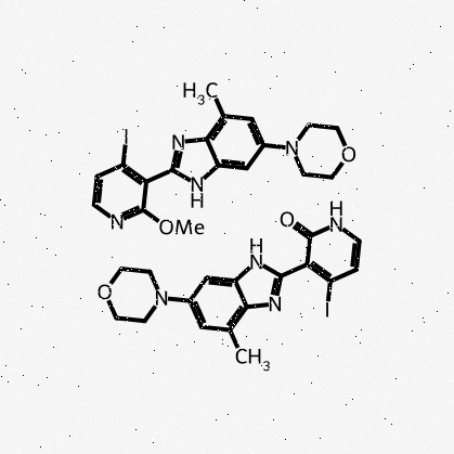 COc1nccc(I)c1-c1nc2c(C)cc(N3CCOCC3)cc2[nH]1.Cc1cc(N2CCOCC2)cc2[nH]c(-c3c(I)cc[nH]c3=O)nc12